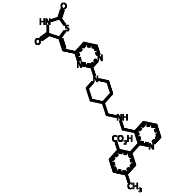 Cc1ccc(C(=O)O)c(-c2ncccc2CNCC2CCN(c3nccc(/C=C4\SC(=O)NC4=O)n3)CC2)c1